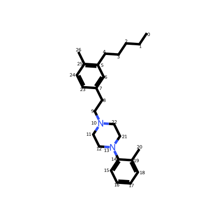 CCCCCc1cc(CCN2CCN(c3ccccc3C)CC2)ccc1C